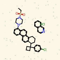 CCS(=O)(=O)N1CCN(c2cccc3c2ccc2c4c(ccc23)C(C2(c3ccc(Cl)cc3)CCC2)CCC4)CC1.Cl.c1ccc2cnccc2c1